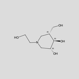 OCCN1C[C@H](CO)[C@@H](O)[C@H](O)C1